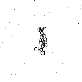 O=C(O[C@@H]1C[C@@H]2CN(C(=O)OCc3cc(Cl)cc(Cl)c3)C[C@@H]2C1)c1ccc([N+](=O)[O-])cc1